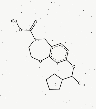 CC(Oc1ccc2c(n1)OCCN(C(=O)OC(C)(C)C)C2)C1CCCC1